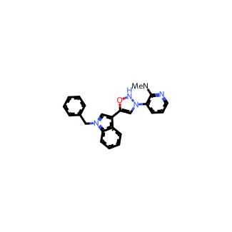 CNc1ncccc1N1C=C(c2cn(Cc3ccccc3)c3ccccc23)ON1